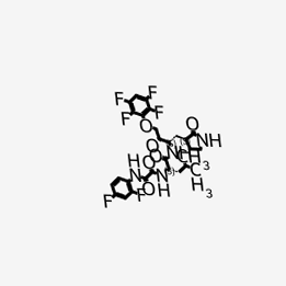 CC(C)C[C@H](NC(=O)C(=O)Nc1ccc(F)cc1F)C(=O)N[C@@H](C[C@@H]1CCNC1=O)C(=O)COc1c(F)c(F)cc(F)c1F